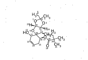 C[C@@H]1[C@H]2OC(C)(C)O[C@H]2OC12C(O)C=CC[C@@H]2OC(=O)C(C)(C)C